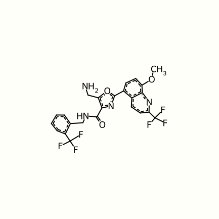 COc1ccc(-c2nc(C(=O)NCc3ccccc3C(F)(F)F)c(CN)o2)c2ccc(C(F)(F)F)nc12